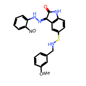 COc1cccc(CNSc2ccc3c(c2)/C(=N/Nc2ccccc2N=O)C(=O)N3)c1